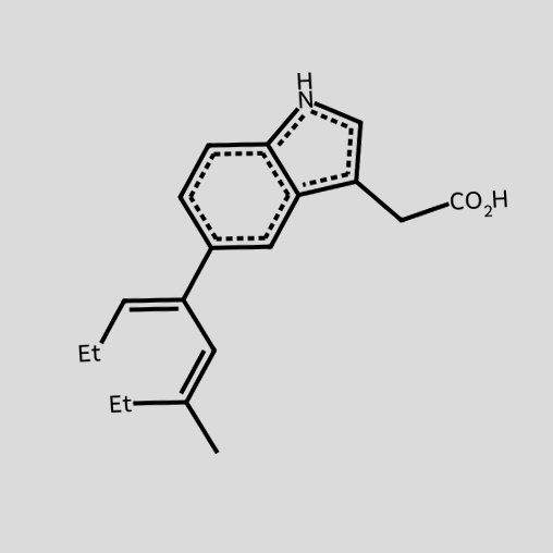 CC/C=C(\C=C(\C)CC)c1ccc2[nH]cc(CC(=O)O)c2c1